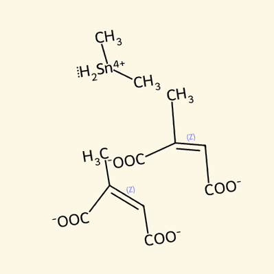 C/C(=C/C(=O)[O-])C(=O)[O-].C/C(=C/C(=O)[O-])C(=O)[O-].[CH3][SnH2+4][CH3]